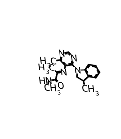 CNC(=O)/C(C)=N/c1c(C)ncnc1N1CC(C)c2ccccc21